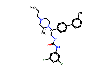 COCCN1CCN([C@H](CNC(=O)Nc2cc(Cl)cc(Cl)c2)c2ccc(-c3cccc(C#N)c3)cc2)[C@@H](C)C1